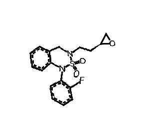 O=S1(=O)N(CC[C@H]2CO2)Cc2ccccc2N1c1ccccc1F